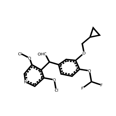 O=CC(c1ccc(OC(F)F)c(OCC2CC2)c1)c1c(OCl)cncc1OCl